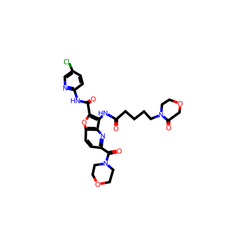 O=C(CCCCN1CCOCC1=O)Nc1c(C(=O)Nc2ccc(Cl)cn2)oc2ccc(C(=O)N3CCOCC3)nc12